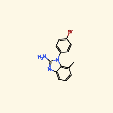 Cc1cccc2nc(N)n(-c3ccc(Br)cc3)c12